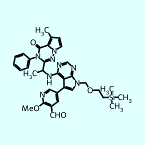 COc1ncc(-c2cn(COCC[Si](C)(C)C)c3ncnc(NC(C)c4nn5ccc(C)c5c(=O)n4-c4ccccc4)c23)cc1C=O